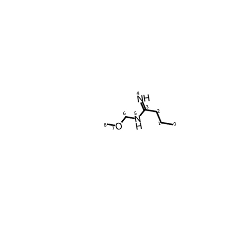 CCCC(=N)NCOC